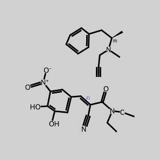 C#CCN(C)[C@H](C)Cc1ccccc1.CCN(CC)C(=O)/C(C#N)=C/c1cc(O)c(O)c([N+](=O)[O-])c1